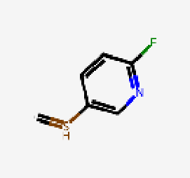 [CH]=[SH]c1ccc(F)nc1